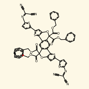 N#CC(C#N)=Nc1ccc(-c2cc3c(s2)-c2cc4c(cc2C(C(=O)OCc2ccccc2)(C(=O)OCc2ccccc2)O3)-c2sc(-c3ccc(N=C(C#N)C#N)s3)cc2OC4(C(=O)OCc2ccccc2)C(=O)OCc2ccccc2)s1